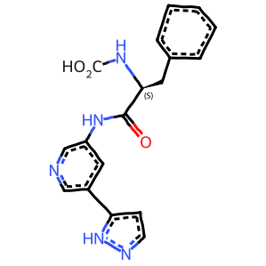 O=C(O)N[C@@H](Cc1ccccc1)C(=O)Nc1cncc(-c2ccn[nH]2)c1